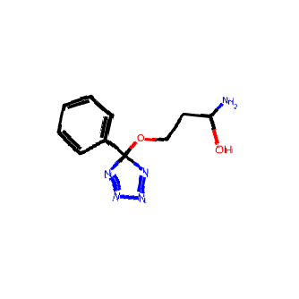 NC(O)CCOC1(c2ccccc2)N=NN=N1